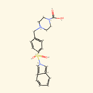 O=C(O)N1CCN(Cc2ccc(S(=O)(=O)n3cc4ccccc4c3)cc2)CC1